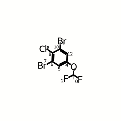 FC(F)Oc1cc(Br)c(Cl)c(Br)c1